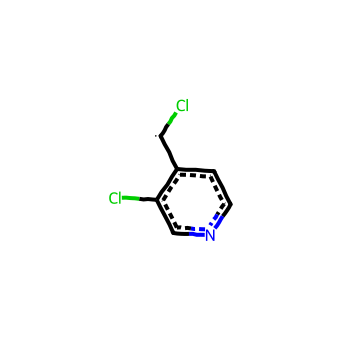 Cl[CH]c1ccncc1Cl